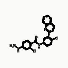 NNc1ccc(C(=O)Nc2ccc(Cl)c(-c3ccc4ccccc4n3)c2)c(Cl)c1